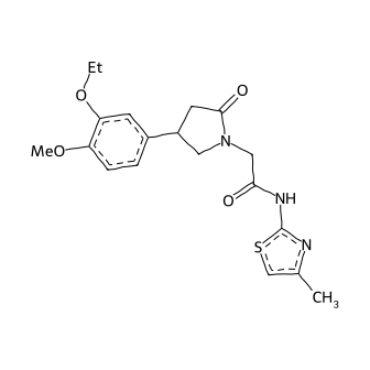 CCOc1cc(C2CC(=O)N(CC(=O)Nc3nc(C)cs3)C2)ccc1OC